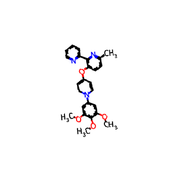 COc1cc(N2C=CC(Oc3ccc(C)nc3-c3ccccn3)=CC2)cc(OC)c1OC